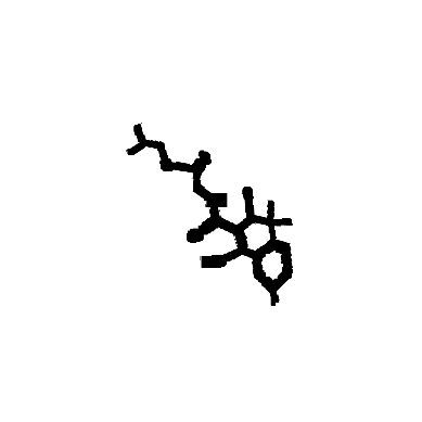 CC(C)COC(=O)CNC(=O)C1=C(O)c2cc(F)ccc2C(C)(C)C1=O